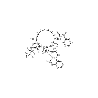 Cc1nc2ccccc2c2c1O[C@]1(CC2)C[C@H]2C(=O)N[C@]3(C(=O)NS(=O)(=O)C4(C)CC4)C[C@H]3C=CCCCCC[C@H](NC(=O)N(C)c3ccccc3)C(=O)N2C1